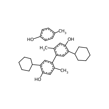 Cc1cc(O)c(C2CCCCC2)cc1-c1cc(C2CCCCC2)c(O)cc1C.Cc1ccc(O)cc1